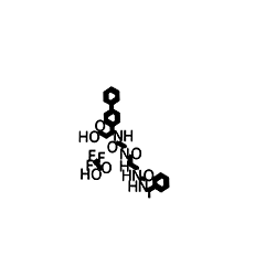 C[C@@H](NC(=O)NCCC(=O)NCC(=O)NC(CC(=O)O)c1ccc(-c2ccccc2)cc1)c1ccccc1.O=C(O)C(F)(F)F